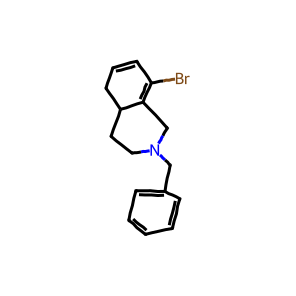 BrC1=C2CN(Cc3ccccc3)CCC2CC=C1